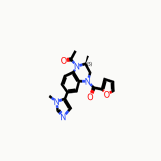 CC(=O)N1c2ccc(-c3cncn3C)cc2N(C(=O)c2ccco2)C[C@@H]1C